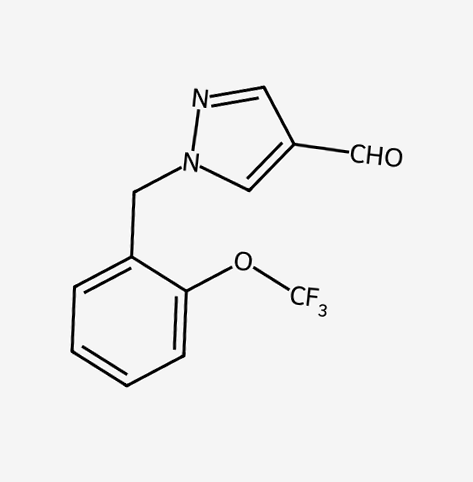 O=Cc1cnn(Cc2ccccc2OC(F)(F)F)c1